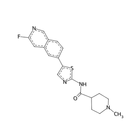 CN1CCC(C(=O)Nc2ncc(-c3ccc4cnc(F)cc4c3)s2)CC1